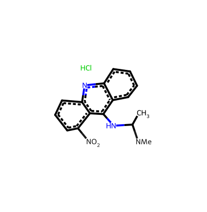 CNC(C)Nc1c2ccccc2nc2cccc([N+](=O)[O-])c12.Cl